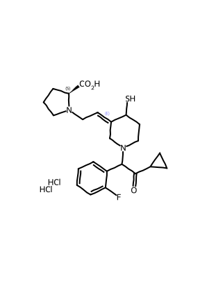 Cl.Cl.O=C(C1CC1)C(c1ccccc1F)N1CCC(S)/C(=C/CN2CCC[C@H]2C(=O)O)C1